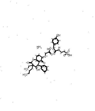 CCCCC1(CC)C(=O)SC2=C(C(=O)C(SCC(=O)N[C@@H](C(=O)NCCS(=O)(=O)O)c3ccc(O)cc3)C=C2)C(c2ccccc2)C1O.N